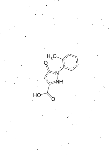 Cc1ccccc1-n1[nH]c(C(=O)O)cc1=O